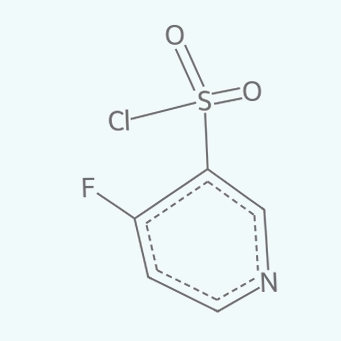 O=S(=O)(Cl)c1cnccc1F